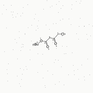 CCCCOC(=O)CC(=O)CCl